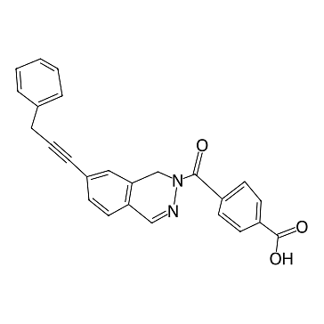 O=C(O)c1ccc(C(=O)N2Cc3cc(C#CCc4ccccc4)ccc3C=N2)cc1